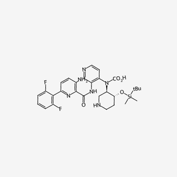 CC(C)(C)[Si](C)(C)O[C@@H]1CCNC[C@H]1N(C(=O)O)c1ccncc1NC(=O)c1nc(-c2c(F)cccc2F)ccc1N